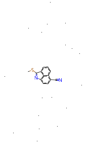 CSC1=Nc2ccc(C#N)c3cccc1c23